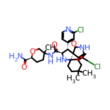 CC1(C)CCC2(CC1)N[C@@H](C(=O)NC1(C)CC[C@@H](C(N)=O)OC1)[C@H](c1ccnc(Cl)c1)[C@]21C(=O)Nc2cc(Cl)ccc21